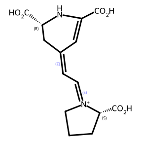 O=C(O)C1=C/C(=C\C=[N+]2/CCC[C@H]2C(=O)O)C[C@H](C(=O)O)N1